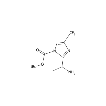 CC(N)c1nc(C(F)(F)F)cn1C(=O)OC(C)(C)C